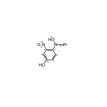 CCCN(O)c1ccc(O)cc1[N+](=O)[O-]